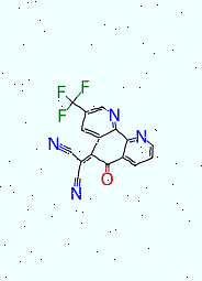 N#CC(C#N)=C1C(=O)c2cccnc2-c2ncc(C(F)(F)F)cc21